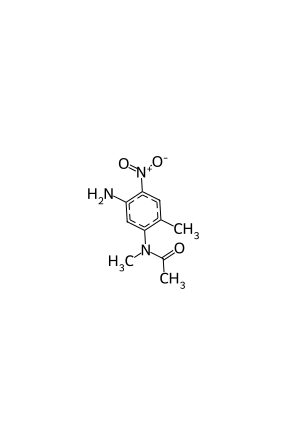 CC(=O)N(C)c1cc(N)c([N+](=O)[O-])cc1C